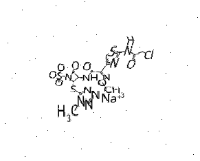 CON=C(C(=O)N[C@@H]1C(=O)N(S(=O)(=O)[O-])[C@H]1Sc1nnnn1C)c1csc(NC(=O)CCl)n1.[Na+]